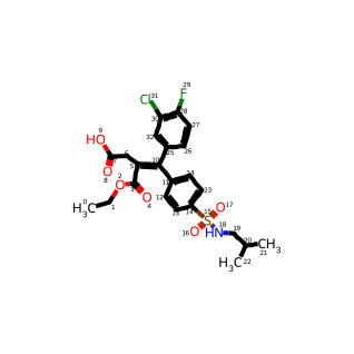 CCOC(=O)C(CC(=O)O)=C(c1ccc(S(=O)(=O)NCC(C)C)cc1)c1ccc(F)c(Cl)c1